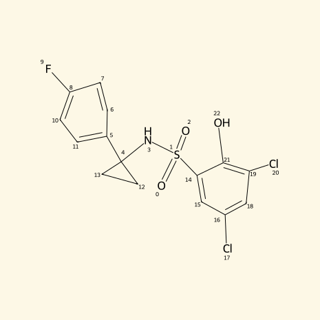 O=S(=O)(NC1(c2ccc(F)cc2)CC1)c1cc(Cl)cc(Cl)c1O